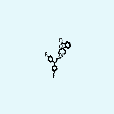 O=C1OC2(CCN(CCCC(c3ccc(F)cc3)c3ccc(F)cc3)CC2)c2ccccc21